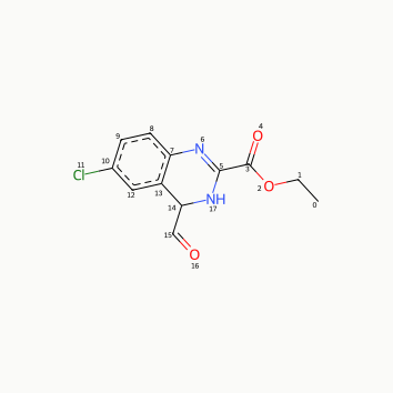 CCOC(=O)C1=Nc2ccc(Cl)cc2C(C=O)N1